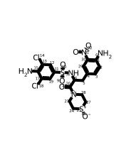 Nc1ccc(CC(NS(=O)(=O)c2cc(Cl)c(N)c(Cl)c2)C(=O)N2CC[S+]([O-])CC2)cc1[N+](=O)[O-]